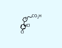 Cl.O=C(O)CCN1CCC(c2ccc(Cl)cc2)C1